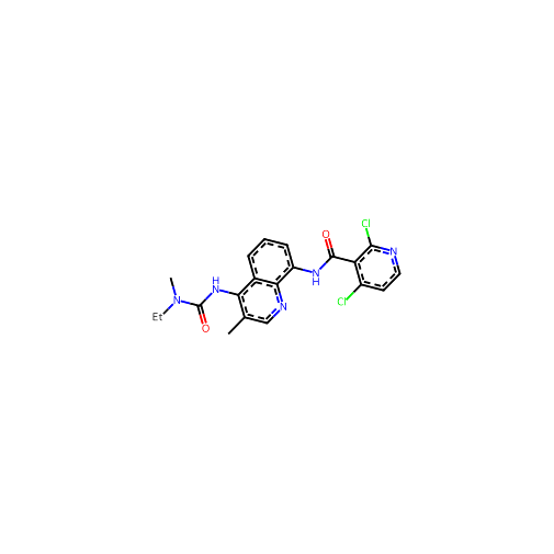 CCN(C)C(=O)Nc1c(C)cnc2c(NC(=O)c3c(Cl)ccnc3Cl)cccc12